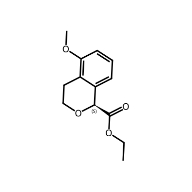 CCOC(=O)[C@H]1OCCc2c(OC)cccc21